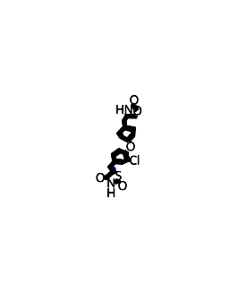 O=C1NC(Cc2ccc(Oc3ccc(/C=C4\SC(=O)NC4=O)cc3Cl)cc2)CO1